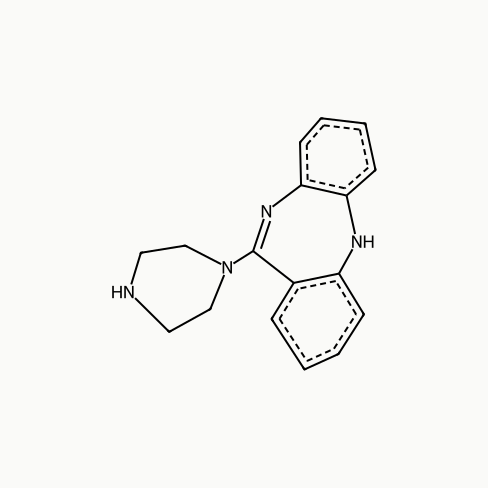 c1ccc2c(c1)N=C(N1CCNCC1)c1ccccc1N2